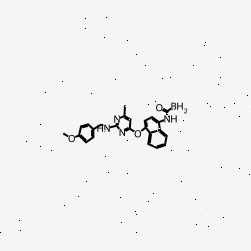 BC(=O)Nc1ccc(Oc2cc(C)nc(NCc3ccc(OC)cc3)n2)c2ccccc12